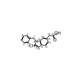 Cc1ccccc1Cn1ccc2ccc(CC(=O)O)cc21